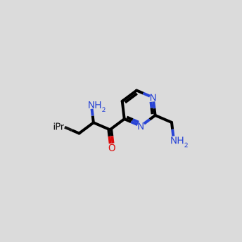 CC(C)CC(N)C(=O)c1ccnc(CN)n1